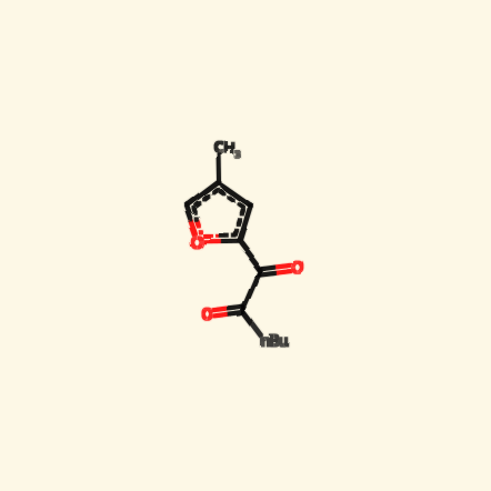 CCCCC(=O)C(=O)c1cc(C)co1